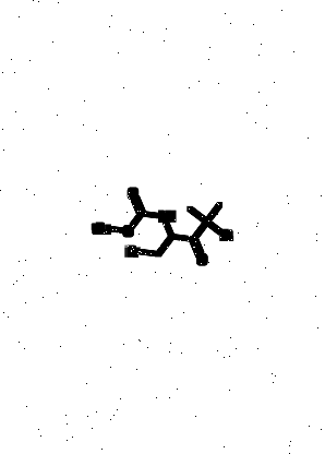 CCC(C)(C)C(=O)C(CC(C)C)NC(=O)OC(C)(C)C